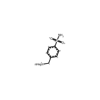 CCCCCCCCc1ccc(S(N)(=O)=O)cc1